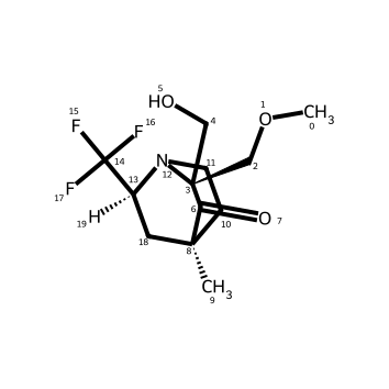 COC[C@@]1(CO)C(=O)[C@@]2(C)CCN1[C@H](C(F)(F)F)C2